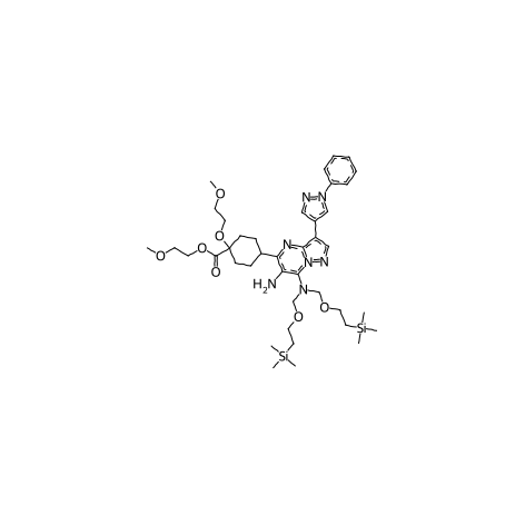 COCCOC(=O)C1(OCCOC)CCC(c2nc3c(-c4cnn(-c5ccccc5)c4)cnn3c(N(COCC[Si](C)(C)C)COCC[Si](C)(C)C)c2N)CC1